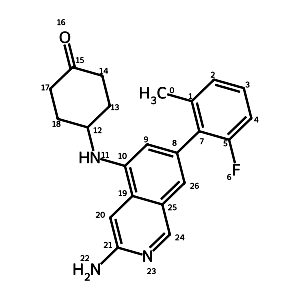 Cc1cccc(F)c1-c1cc(NC2CCC(=O)CC2)c2cc(N)ncc2c1